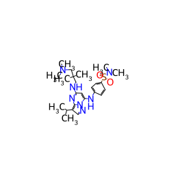 CC(C)c1cnn2c(Nc3ccc(S(=O)(=O)N(C)C)cc3)cc(NCC(C)(C)CN(C)C)nc12